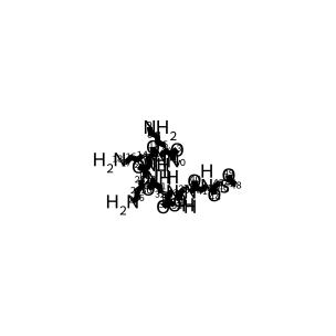 CNC(=O)[C@H](CCCCN)NC(=O)[C@@H](CCCCN)NC(=O)[C@@H](CCCCN)NC(=O)CC[C@H](NC(=O)CNC(=O)CNC(=O)CSC(C)=O)C(=O)O